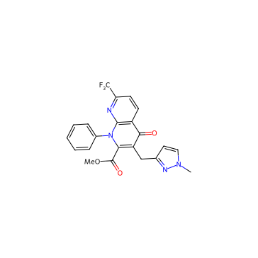 COC(=O)c1c(Cc2ccn(C)n2)c(=O)c2ccc(C(F)(F)F)nc2n1-c1ccccc1